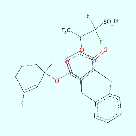 CC1(OC(=O)C2C3c4ccccc4C(c4ccccc43)C2C(=O)OC(C(F)(F)F)C(F)(F)S(=O)(=O)O)C=C(I)CCC1